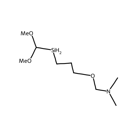 COC(OC)[SiH2]CCCOCN(C)C